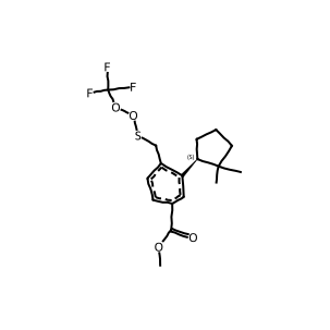 COC(=O)c1ccc(CSOOC(F)(F)F)c([C@H]2CCCC2(C)C)c1